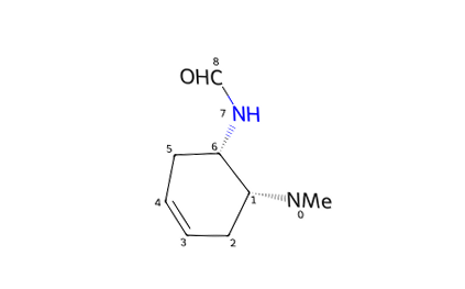 CN[C@@H]1CC=CC[C@@H]1NC=O